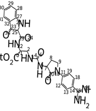 CCOC(=O)[C@H](CNC(=O)NC1CCN(c2ccc(C(=N)N)cc2)C1=O)NC(=O)C1Nc2ccccc2C1=O